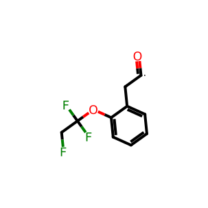 O=[C]Cc1ccccc1OC(F)(F)CF